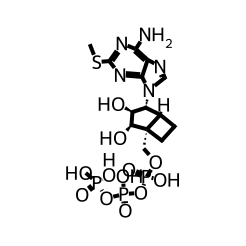 CSc1nc(N)c2ncn([C@H]3[C@H](O)[C@H](O)[C@]4(COP(=O)(O)OP(=O)(O)OP(=O)(O)O)CC[C@H]34)c2n1